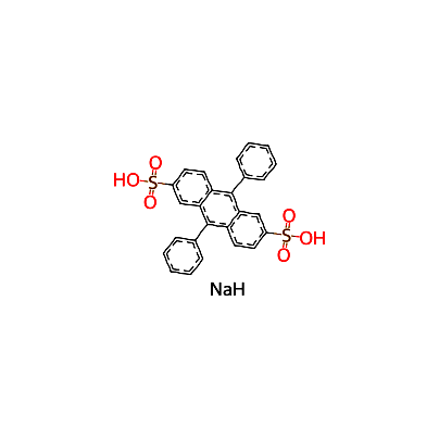 O=S(=O)(O)c1ccc2c(-c3ccccc3)c3cc(S(=O)(=O)O)ccc3c(-c3ccccc3)c2c1.[NaH]